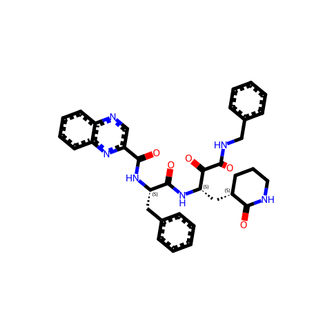 O=C(NCc1ccccc1)C(=O)[C@H](C[C@@H]1CCCNC1=O)NC(=O)[C@H](Cc1ccccc1)NC(=O)c1cnc2ccccc2n1